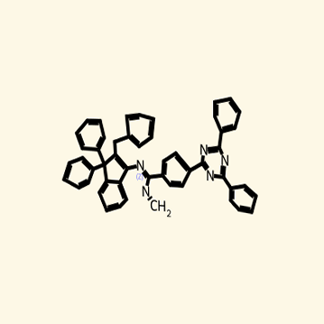 C=N/C(=N\C1=C(Cc2ccccc2)C(c2ccccc2)(c2ccccc2)c2ccccc21)c1ccc(-c2nc(-c3ccccc3)nc(-c3ccccc3)n2)cc1